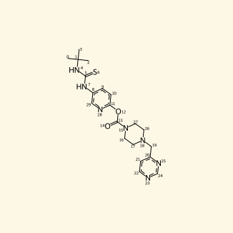 CC(C)(C)NC(=S)Nc1ccc(OC(=O)N2CCN(Cc3ccncn3)CC2)nc1